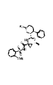 C=C[C@@H]1C[C@]1(NC(=O)[C@@H]1CN(C(C)=O)CC[C@H]1c1ccccc1)C(=O)NS(=O)(=O)c1ccccc1NC